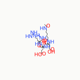 CC(=O)NCCCCCC(=O)N[C@@H](CCC(=O)O)C(=O)N[C@](C=O)(CCC(=O)O)CN[C@@H](CCCNC(=N)N)C(N)=O